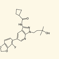 CC(C)(O)CCn1nc(NC(=O)C2CCC2)c2cc(-c3ccc4c(c3F)OCO4)cnc21